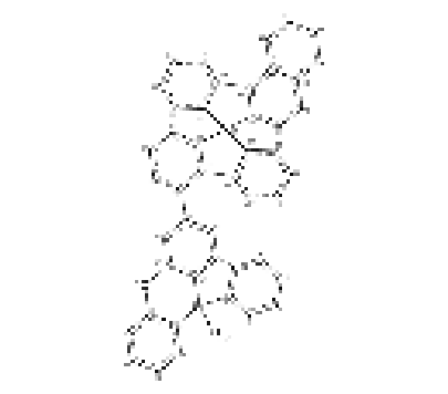 CC1(c2ccccc2)c2ccccc2Oc2cc(-c3cccc4c3-c3ccccc3C43c4ccccc4-c4c3ccc3ccccc43)ccc21